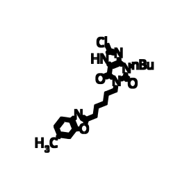 CCCCn1c(=O)n(CCCCCc2nc3ccc(C)cc3o2)c(=O)c2[nH]c(Cl)nc21